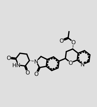 CC(=O)O[C@H]1CC(c2ccc3c(c2)CN([C@H]2CCC(=O)NC2=O)C3=O)Oc2ncccc21